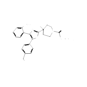 COc1ccccc1-c1nc(C2(C(=O)O)CCN(C(=O)N(C)O)CC2)oc1-c1ccc(CO)cc1